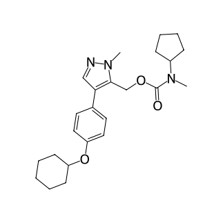 CN(C(=O)OCc1c(-c2ccc(OC3CCCCC3)cc2)cnn1C)C1CCCC1